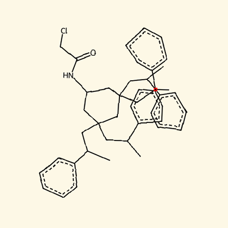 CC(CC1(CC(C)c2ccccc2)CC(NC(=O)CCl)CC(CC(C)c2ccccc2)(CC(C)c2ccccc2)C1)c1ccccc1